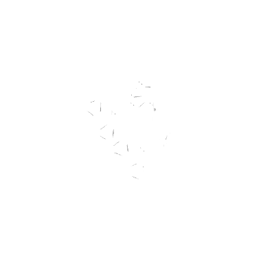 CCc1c([N+](=O)[O-])c(C(N)=O)nn1C1CN(C(c2ccccc2)c2ccccc2)C1.CS(=O)(=O)OC1CN(C(c2ccccc2)c2ccccc2)C1